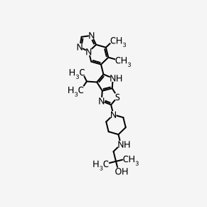 Cc1c(-c2[nH]c3sc(N4CCC(NCC(C)(C)O)CC4)nc3c2C(C)C)cn2ncnc2c1C